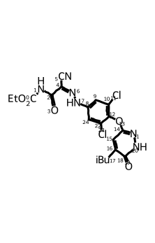 CCOC(=O)NC(=O)C(C#N)=NNc1cc(Cl)c(Oc2cc(C(C)CC)c(=O)[nH]n2)c(Cl)c1